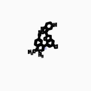 C=Nc1ccc(C#N)cc1/C(=C\C)c1cc(Cl)cc2c1OC(c1onc3c1CNCC3)C2